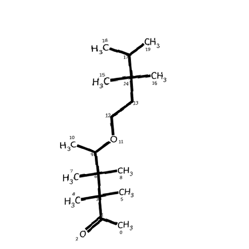 CC(=O)C(C)(C)C(C)(C)C(C)OCCC(C)(C)C(C)C